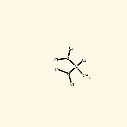 C[Si](Cl)(B(Cl)Cl)N(Cl)Cl